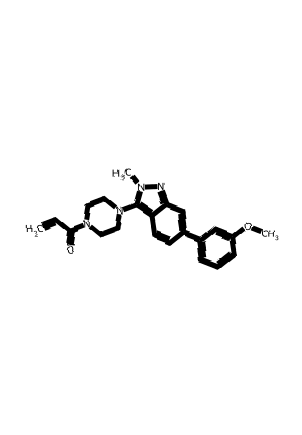 C=CC(=O)N1CCN(c2c3ccc(-c4cccc(OC)c4)cc3nn2C)CC1